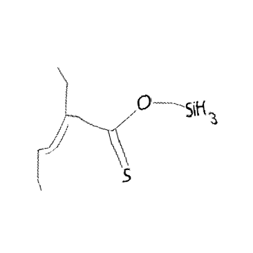 CC=C(C)C(=S)O[SiH3]